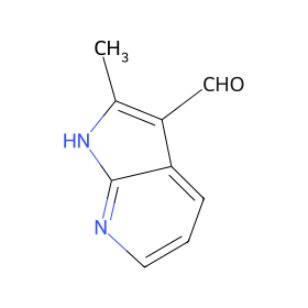 Cc1[nH]c2ncccc2c1C=O